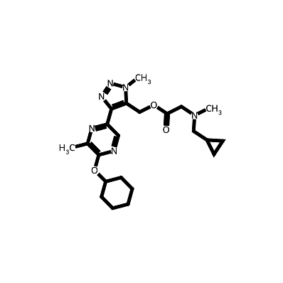 Cc1nc(-c2nnn(C)c2COC(=O)CN(C)CC2CC2)cnc1OC1CCCCC1